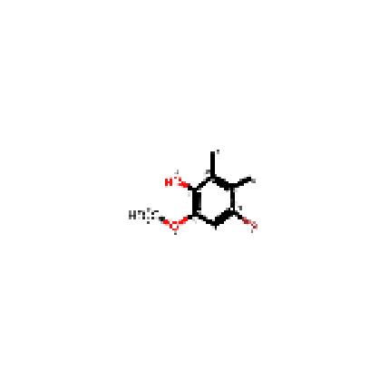 Cc1c(Br)cc(OC(=O)O)c(O)c1C